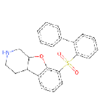 O=S(=O)(c1ccccc1-c1ccccc1)c1cccc2c1OC1CNCCC21